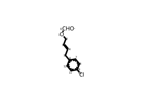 O=[C]OCC=CCc1ccc(Cl)cc1